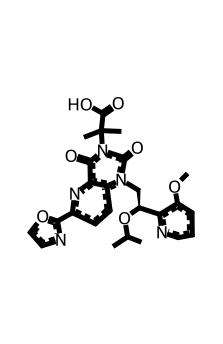 COc1cccnc1[C@H](Cn1c(=O)n(C(C)(C)C(=O)O)c(=O)c2nc(-c3ncco3)ccc21)OC(C)C